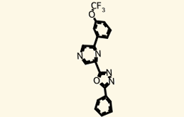 FC(F)(F)Oc1cccc(-c2cncc(-c3nnc(-c4ccccc4)o3)n2)c1